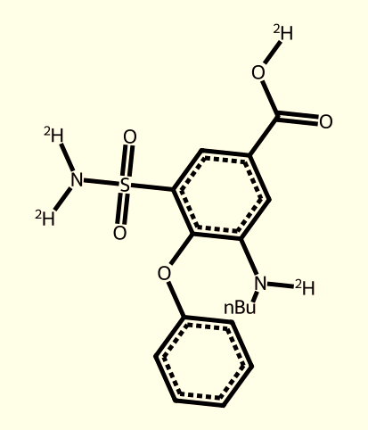 [2H]OC(=O)c1cc(N([2H])CCCC)c(Oc2ccccc2)c(S(=O)(=O)N([2H])[2H])c1